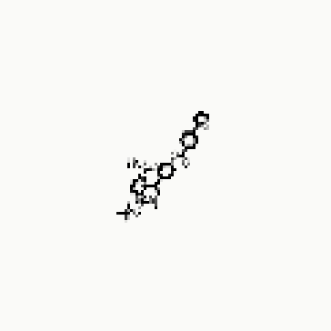 CN(CC(c1ccc(OC(=O)c2ccc(-c3cccs3)cc2)cc1)c1nccn1C(=O)O)C(=O)OC(C)(C)C